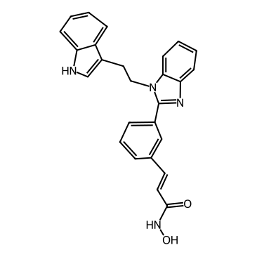 O=C(C=Cc1cccc(-c2nc3ccccc3n2CCc2c[nH]c3ccccc23)c1)NO